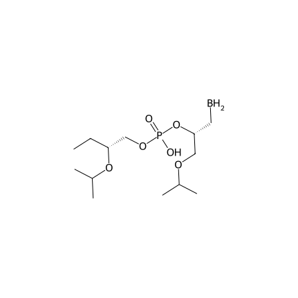 BC[C@H](COC(C)C)OP(=O)(O)OC[C@@H](CC)OC(C)C